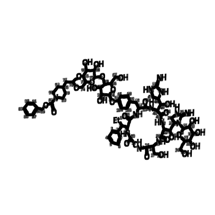 CCC(c1ccccc1)C1NC(=O)CNC(=O)C(CO)NC(=O)C(C(O)C2CNC(=N)N2C2OC(CO)C(O)C(O)C2O)NC(=O)C(C(O)C2CNC(=N)N2)NC(=O)C(Cc2ccc(OC3OC(CO)C(OC4OC5COC(CC6CCN(C(=O)OCc7ccccc7)CC6)OC5C(O)C4O)C(O)C3O)cc2)NC1=O